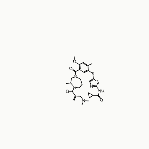 C=C(CN(C)C)C(=O)N1CCCN(C(=O)c2cc(Sc3cnc(NC(=O)C4CC4)s3)c(C)cc2OC)CC1C